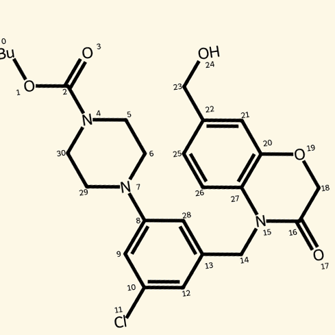 CC(C)(C)OC(=O)N1CCN(c2cc(Cl)cc(CN3C(=O)COc4cc(CO)ccc43)c2)CC1